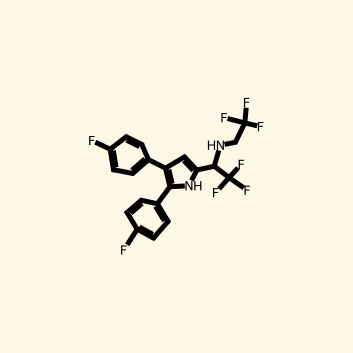 Fc1ccc(-c2cc(C(NCC(F)(F)F)C(F)(F)F)[nH]c2-c2ccc(F)cc2)cc1